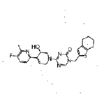 Cc1nc(C2=CCN(c3ncn(Cc4cc5c(s4)CCCC5)c(=O)n3)C[C@@H]2O)ccc1F